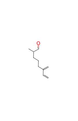 C=CC(=C)CCCC(C)C=O